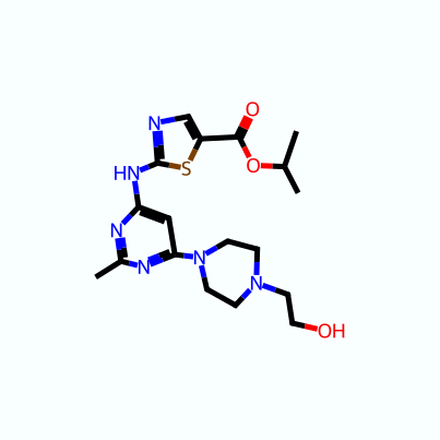 Cc1nc(Nc2ncc(C(=O)OC(C)C)s2)cc(N2CCN(CCO)CC2)n1